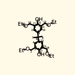 CCOCc1cc(C(C)(C)c2cc(COCC)c(O)c(COCC)c2)cc(COCC)c1O